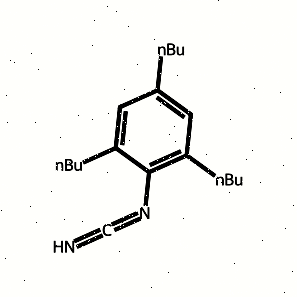 CCCCc1cc(CCCC)c(N=C=N)c(CCCC)c1